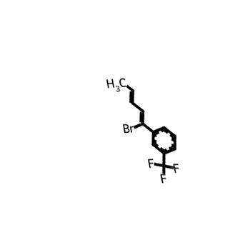 CC=CC=C(Br)c1cccc(C(F)(F)F)c1